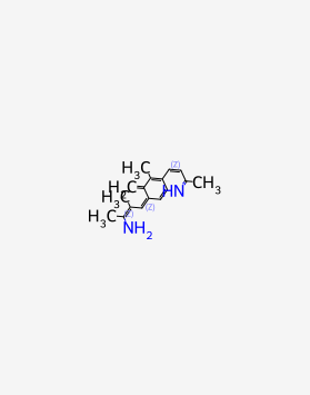 C=c1c(C)c(/C=C\C(C)=N)cc/c1=C/C(C)=C(/C)N